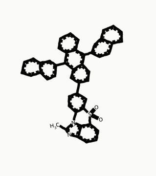 Cc1nc2cccc3c2n1-c1ccc(-c2ccc4c(-c5ccc6ccccc6c5)c5ccccc5c(-c5ccc6ccccc6c5)c4c2)cc1S3(=O)=O